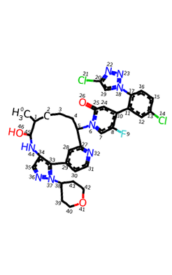 CC1CCCC(n2cc(F)c(-c3cc(Cl)ccc3-n3cc(Cl)nn3)cc2=O)c2cc(ccn2)-c2c(cnn2C2CCOCC2)NC1O